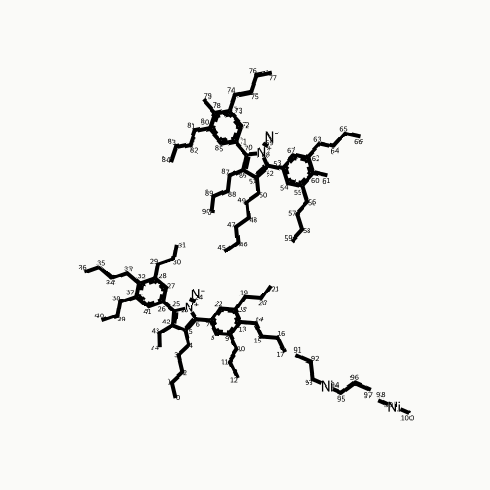 CCCCCC1=C(c2cc(CCC)c(CCCC)c(CCC)c2)[N+](=[N-])C(c2cc(CCC)c(CCCC)c(CCC)c2)=C1CC.CCCCCCC1=C(c2cc(CCCC)c(C)c(CCCC)c2)[N+](=[N-])C(c2cc(CCCC)c(C)c(CCCC)c2)=C1CCCC.CC[CH2][Ni][CH2]CC.[CH3][Ni][CH3]